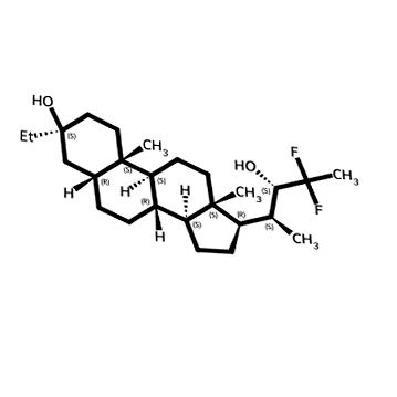 CC[C@]1(O)CC[C@@]2(C)[C@H](CC[C@@H]3[C@@H]2CC[C@]2(C)[C@@H]([C@H](C)[C@H](O)C(C)(F)F)CC[C@@H]32)C1